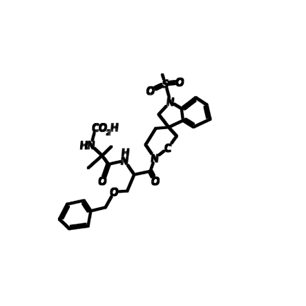 CC(C)(NC(=O)O)C(=O)NC(COCc1ccccc1)C(=O)N1CCC2(CC1)CN(S(C)(=O)=O)c1ccccc12